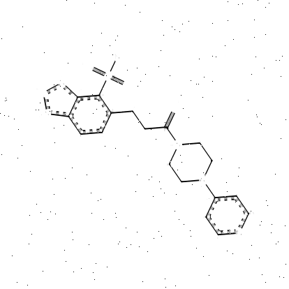 NS(=O)(=O)c1c(CCC(=O)N2CCN(c3ccncc3)CC2)ccc2nsnc12